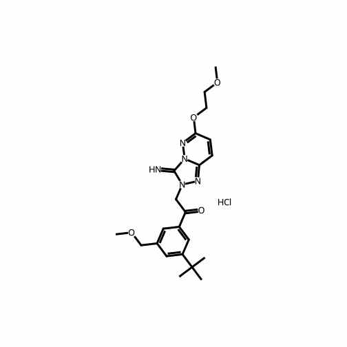 COCCOc1ccc2nn(CC(=O)c3cc(COC)cc(C(C)(C)C)c3)c(=N)n2n1.Cl